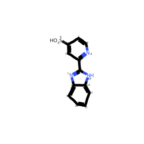 O=S(=O)(O)c1ccnc(-c2nc3ccccc3[nH]2)c1